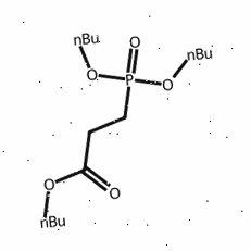 CCCCOC(=O)CCP(=O)(OCCCC)OCCCC